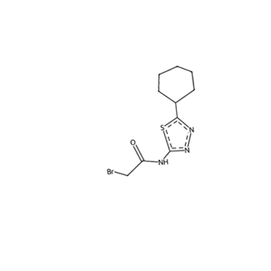 O=C(CBr)Nc1nnc(C2CCCCC2)s1